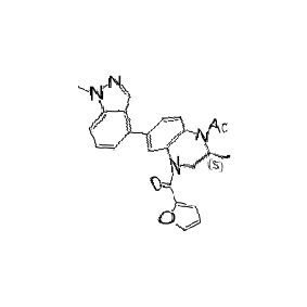 CC(=O)N1c2ccc(-c3cccc4c3cnn4C)cc2N(C(=O)c2ccco2)C[C@@H]1C